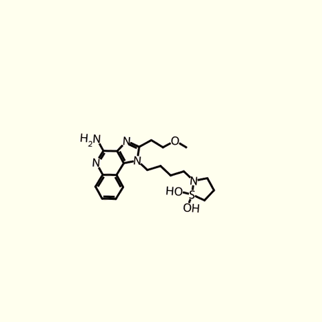 COCCc1nc2c(N)nc3ccccc3c2n1CCCCN1CCCS1(O)O